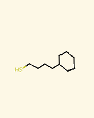 SCCCCC1CCCCC1